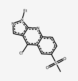 CCn1ncc2c(Cl)c3cc(S(C)(=O)=O)ccc3nc21